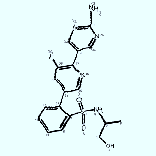 CC(CO)NS(=O)(=O)c1ccccc1-c1cnc(-c2cnc(N)nc2)c(F)c1